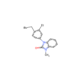 CCc1cc(-n2c(=O)n(C)c3ccccc32)ccc1CC(C)CC